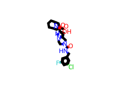 O=C(O)C1CC2CCCC(C1)N2C(=O)c1cc2n(n1)CCN(C(=O)NCc1cc(F)cc(Cl)c1)C2